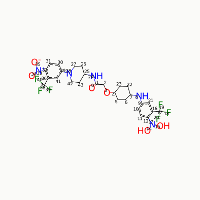 O=C(COC1CCC(Nc2ccc(N(O)O)c(C(F)(F)F)c2)CC1)NC1CCN(c2ccc([N+](=O)[O-])c(C(F)(F)F)c2)CC1